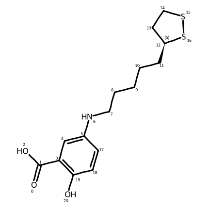 O=C(O)c1cc(NCCCCC[C@H]2CCSS2)ccc1O